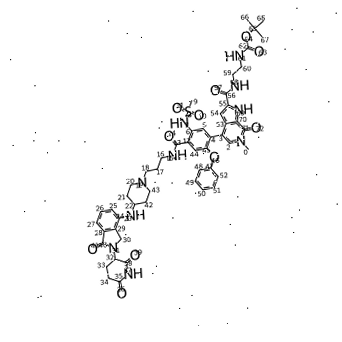 Cn1cc(-c2cc(NS(C)(=O)=O)c(C(=O)NCCCN3CCC(Nc4cccc5c4CN(C4CCC(=O)NC4=O)C5=O)CC3)cc2Oc2ccccc2)c2cc(C(=O)NCCNC(=O)OC(C)(C)C)[nH]c2c1=O